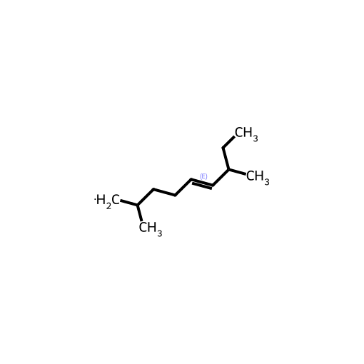 [CH2]C(C)CC/C=C/C(C)CC